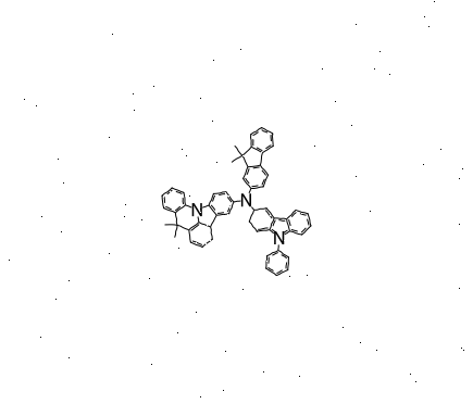 CC1(C)C2=C3C(CC=C2)c2cc(N(c4ccc5c(c4)C(C)(C)c4ccccc4-5)C4C=c5c(n(-c6ccccc6)c6ccccc56)=CC4)ccc2N3c2ccccc21